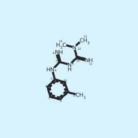 Cc1cccc(NC(=N)NC(=N)N(C)C)c1